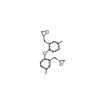 Cc1ccc(Oc2ccc(C)cc2C[C@H]2CO2)c(C[C@H]2CO2)c1